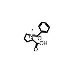 C[N@@+]1(C(=O)c2ccccc2)CCCC1C(=O)O